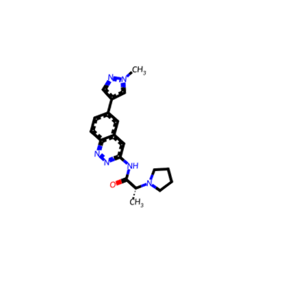 C[C@H](C(=O)Nc1cc2cc(-c3cnn(C)c3)ccc2nn1)N1CCCC1